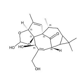 CC1=C[C@]23C(=O)[C@@H](C=C(CO)[C@@H](O)[C@@]24OC(O)O[C@@H]14)C1C(C[C@H]3C)C1(C)C